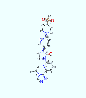 CC(C)n1cnnc1-c1cccc(N2CCN(c3ccc(N4CCC(S(C)(=O)=O)CC4)nc3)C2=O)n1